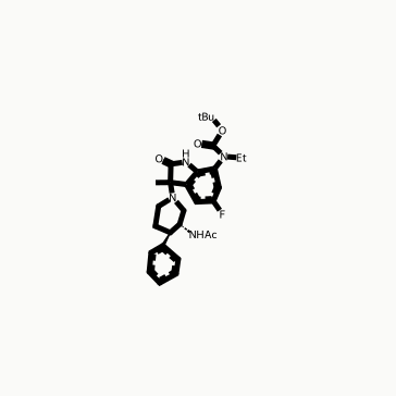 CCN(C(=O)OC(C)(C)C)c1cc(F)cc2c1NC(=O)C2(C)N1CC[C@H](c2ccccc2)[C@@H](NC(C)=O)C1